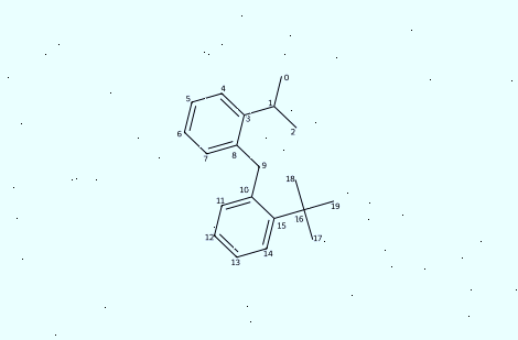 CC(C)c1ccccc1Cc1ccccc1C(C)(C)C